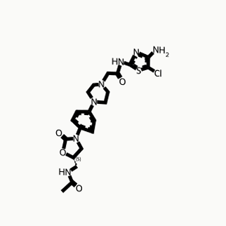 CC(=O)NC[C@H]1CN(c2ccc(N3CCN(CC(=O)Nc4nc(N)c(Cl)s4)CC3)cc2)C(=O)O1